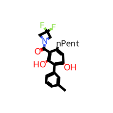 CCCCCc1cc(O)c(-c2cccc(C)c2)c(O)c1C(=O)N1CC(F)(F)C1